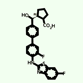 O=C(O)C1CCC[C@H]1C(O)c1ccc(-c2ccc(Nc3nc4ccc(F)cc4s3)c(F)c2)cc1